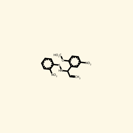 C=CC(NSc1ccccc1[N+](=O)[O-])c1cc([N+](=O)[O-])ccc1OC(=O)O